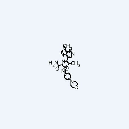 Cc1nc(Nc2ccc(N3CCOCC3)cc2)c(C(N)=O)nc1-c1cnnc2c1ncn2C